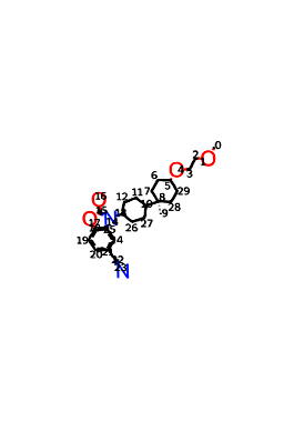 COCCO[C@H]1CC[C@](C)(C2CCC(n3c(=O)oc4ccc(C#N)cc43)CC2)CC1